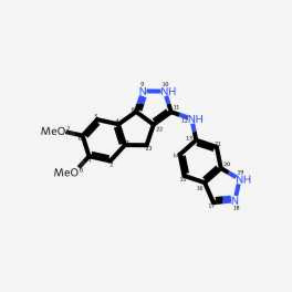 COc1cc2c(cc1OC)-c1n[nH]c(Nc3ccc4cn[nH]c4c3)c1C2